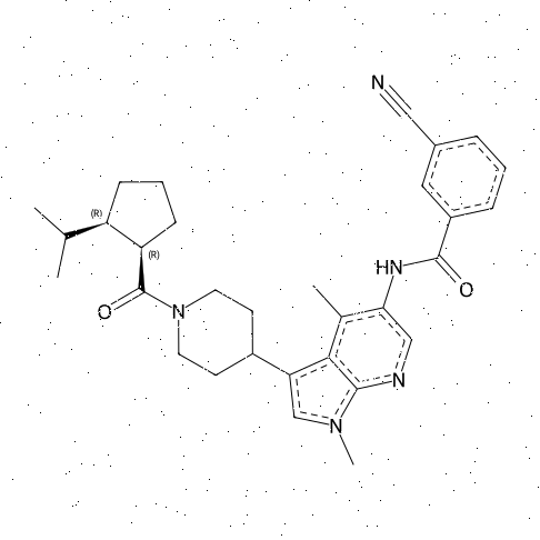 Cc1c(NC(=O)c2cccc(C#N)c2)cnc2c1c(C1CCN(C(=O)[C@@H]3CCC[C@@H]3C(C)C)CC1)cn2C